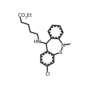 CCOC(=O)CCCCNC1c2ccc(Cl)cc2SN(C)c2ccccc21